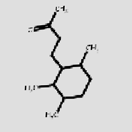 CC(=O)CCC1C(C)CCC(C)C1C